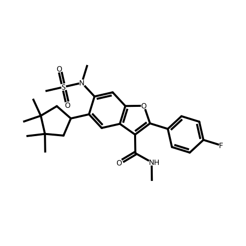 CNC(=O)c1c(-c2ccc(F)cc2)oc2cc(N(C)S(C)(=O)=O)c(C3CC(C)(C)C(C)(C)C3)cc12